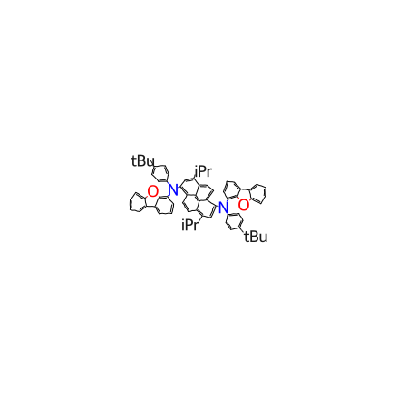 CC(C)c1cc(N(c2ccc(C(C)(C)C)cc2)c2cccc3c2oc2ccccc23)c2ccc3c(C(C)C)cc(N(c4ccc(C(C)(C)C)cc4)c4cccc5c4oc4ccccc45)c4ccc1c2c34